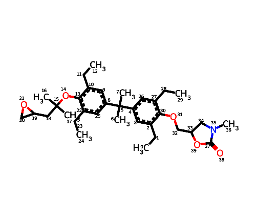 CCc1cc(C(C)(C)c2cc(CC)c(OC(C)(C)CC3CO3)c(CC)c2)cc(CC)c1OCC1CN(C)C(=O)O1